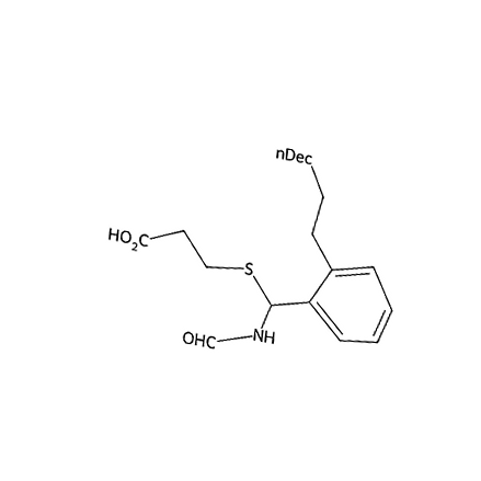 CCCCCCCCCCCCc1ccccc1C(NC=O)SCCC(=O)O